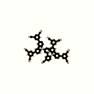 N#Cc1cc(C#N)cc(-c2ccc3c(c2)c2cc(-c4cc(C#N)cc(C#N)c4)ccc2n3-c2ccnc(-c3cc(C#N)ccc3-n3c4ccc(-c5cc(C#N)cc(C#N)c5)cc4c4cc(-c5cc(C#N)cc(C#N)c5)ccc43)c2)c1